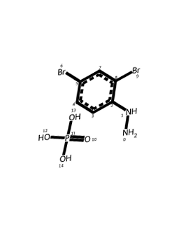 NNc1ccc(Br)cc1Br.O=P(O)(O)O